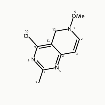 CON1C=Cc2nc(C)nc(Cl)c2C1